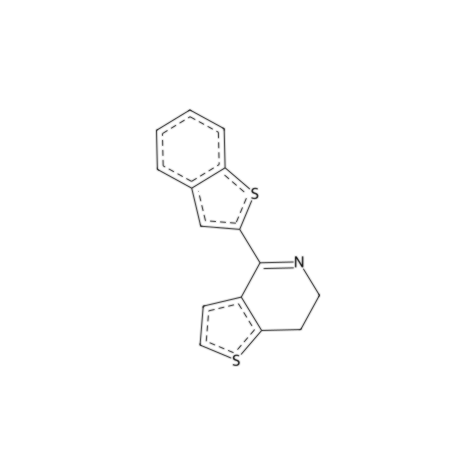 c1ccc2sc(C3=NCCc4sccc43)cc2c1